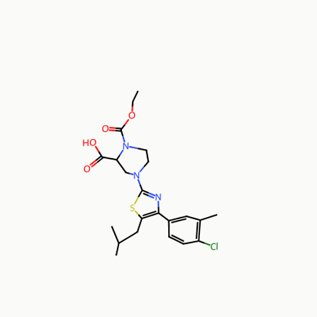 CCOC(=O)N1CCN(c2nc(-c3ccc(Cl)c(C)c3)c(CC(C)C)s2)CC1C(=O)O